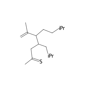 C=C(C)C(CCC(C)C)C(CC(C)=S)CC(C)C